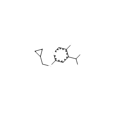 FC(F)c1cc(N[C@@H](C2CC2)C(F)(F)F)ncc1Br